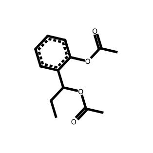 CCC(OC(C)=O)c1ccccc1OC(C)=O